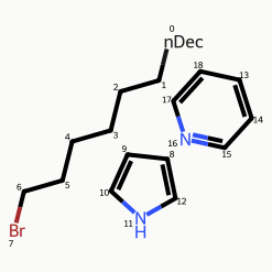 CCCCCCCCCCCCCCCCBr.c1cc[nH]c1.c1ccncc1